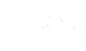 CN1C[C@H](O)C[C@@H](Nc2nnc(-c3ccc(OC(F)F)cc3C(F)(F)F)c3cccn23)C1